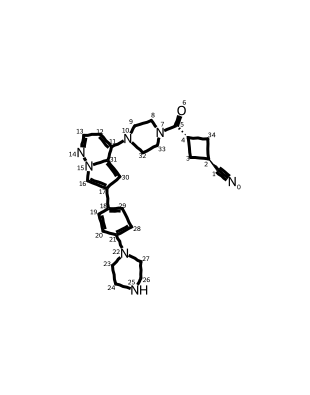 N#C[C@H]1C[C@H](C(=O)N2CCN(c3ccnn4cc(-c5ccc(N6CCNCC6)cc5)cc34)CC2)C1